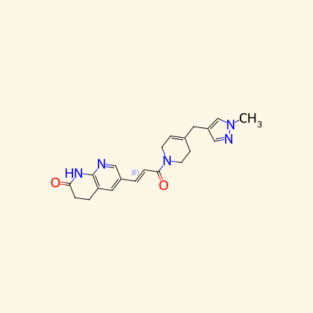 Cn1cc(CC2=CCN(C(=O)/C=C/c3cnc4c(c3)CCC(=O)N4)CC2)cn1